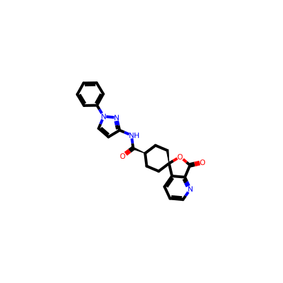 O=C1O[C@]2(CC[C@H](C(=O)Nc3ccn(-c4ccccc4)n3)CC2)c2cccnc21